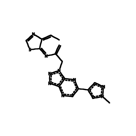 C=C(Cn1nnc2ncc(-c3cnn(C)c3)nc21)/N=C1/SC=N/C1=C/C